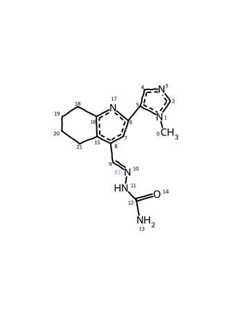 Cn1cncc1-c1cc(/C=N/NC(N)=O)c2c(n1)CCCC2